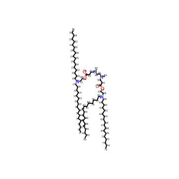 CCCCCCCCCCCCCCCCCCN(CCCCCCCCCCCCCCCCCC)CCOC(=O)CCN(C)CCN(C)CCC(=O)OCCN(CCCCCCCCCCCCCCCCCC)CCCCCCCCCCCCCCCCCC